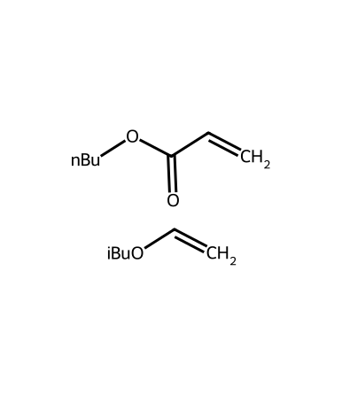 C=CC(=O)OCCCC.C=COCC(C)C